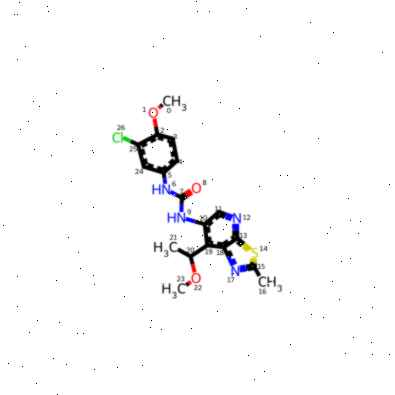 COc1ccc(NC(=O)Nc2cnc3sc(C)nc3c2C(C)OC)cc1Cl